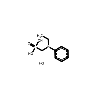 CCN(CP(=O)(O)O)c1ccccc1.Cl